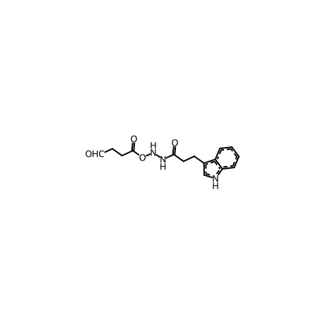 O=CCCC(=O)ONNC(=O)CCc1c[nH]c2ccccc12